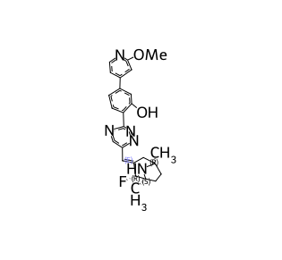 COc1cc(-c2ccc(-c3ncc(/C=C4\C[C@@]5(C)CC[C@](C)(N5)[C@@H]4F)nn3)c(O)c2)ccn1